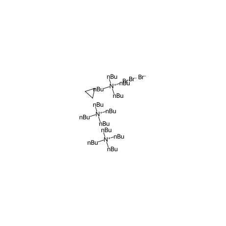 C1CC1.CCCC[N+](CCCC)(CCCC)CCCC.CCCC[N+](CCCC)(CCCC)CCCC.CCCC[N+](CCCC)(CCCC)CCCC.[Br-].[Br-].[Br-]